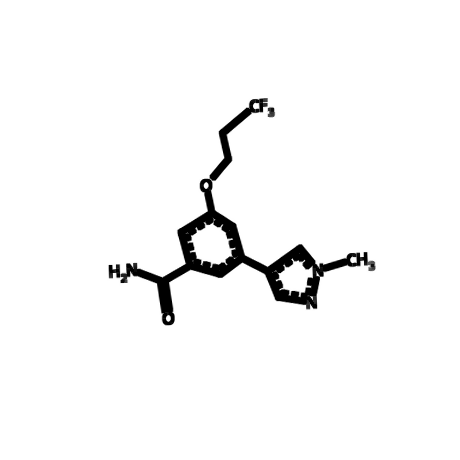 Cn1cc(-c2cc(OCCC(F)(F)F)cc(C(N)=O)c2)cn1